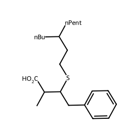 CCCCCC(CCCC)CCSC(Cc1ccccc1)C(C)C(=O)O